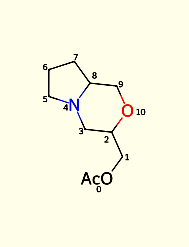 CC(=O)OCC1CN2CCCC2CO1